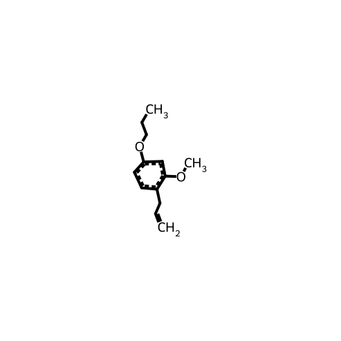 C=CCc1ccc(OCCC)cc1OC